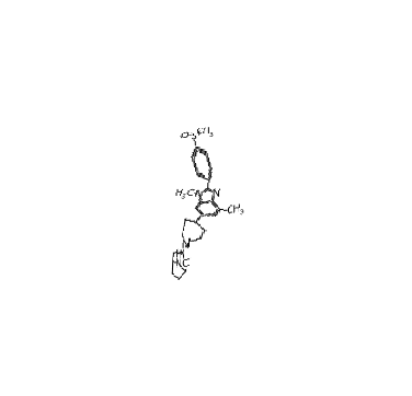 Cc1cc(C2CCN(C3CC4CCC(C3)N4)CC2)cc2c1nc(-c1ccc([S+](C)[O-])cc1)n2C